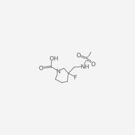 CS(=O)(=O)NCC1(F)CCCN(C(=O)O)C1